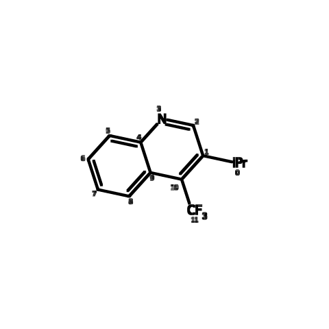 CC(C)c1cnc2ccccc2c1C(F)(F)F